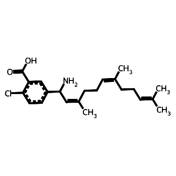 CC(C)=CCCC(C)=CCCC(C)=CC(N)c1ccc(Cl)c(C(=O)O)c1